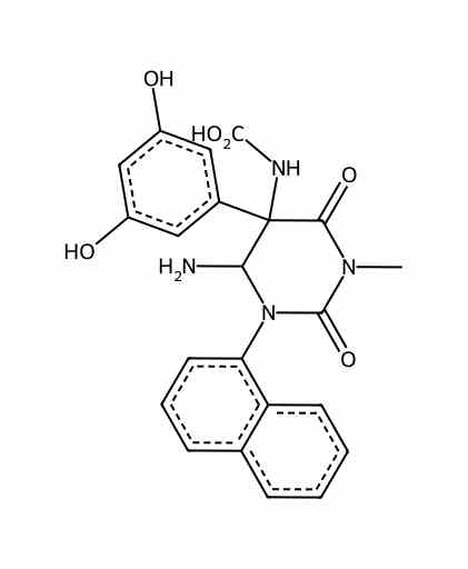 CN1C(=O)N(c2cccc3ccccc23)C(N)C(NC(=O)O)(c2cc(O)cc(O)c2)C1=O